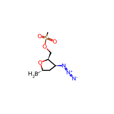 B[C@H]1C[C@H](N=[N+]=[N-])[C@H](COS(C)(=O)=O)O1